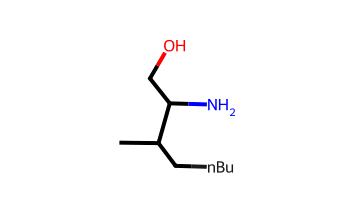 CCCCCC(C)C(N)CO